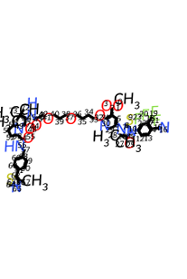 COC(=O)c1cc(N2C(=S)N(c3ccc(C#N)c(C(F)(F)F)c3F)C(=O)C2(C)C)cnc1OCCCCOCCCOCC(=O)NC(C(=O)N1CCCC1C(=O)NCc1ccc(-c2scnc2C)cc1)C(C)(C)C